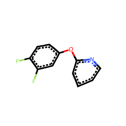 Fc1ccc(Oc2ccccn2)cc1F